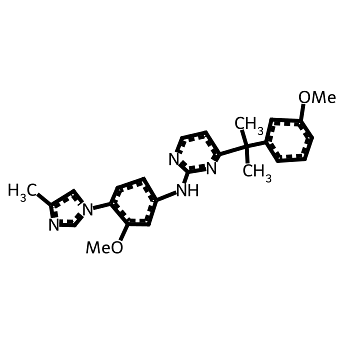 COc1cccc(C(C)(C)c2ccnc(Nc3ccc(-n4cnc(C)c4)c(OC)c3)n2)c1